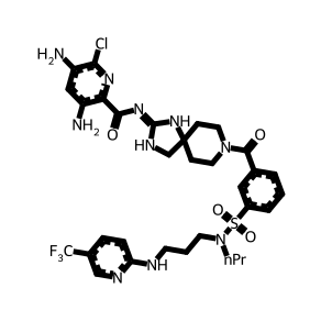 CCCN(CCCNc1ccc(C(F)(F)F)cn1)S(=O)(=O)c1cccc(C(=O)N2CCC3(CC2)CN/C(=N\C(=O)c2nc(Cl)c(N)cc2N)N3)c1